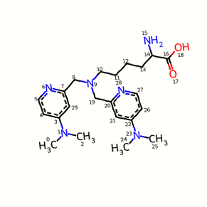 CN(C)c1ccnc(CN(CCCCC(N)C(=O)O)Cc2cc(N(C)C)ccn2)c1